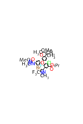 CC(C)OC(=O)c1cc(-c2nn(C)c(C(F)(F)F)c2Br)c(F)cc1Cl.CON(C)C(=O)Nc1ccc(Oc2ccc3c(c2)OC(C)(OC)CC3(C)C)cc1